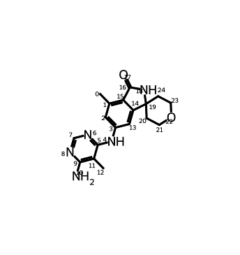 Cc1cc(Nc2ncnc(N)c2C)cc2c1C(=O)NC21CCOCC1